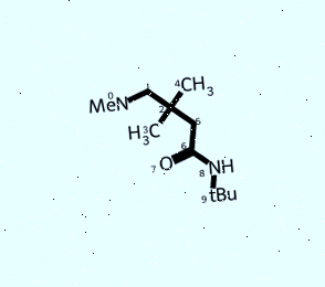 CNCC(C)(C)CC(=O)NC(C)(C)C